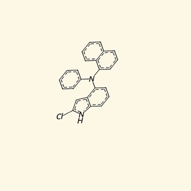 Clc1cc2c(N(c3ccccc3)c3cccc4ccccc34)cccc2[nH]1